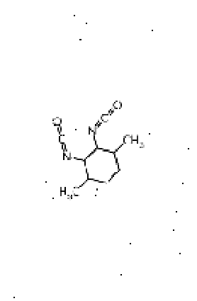 CC1CCC(C)C(N=C=O)C1N=C=O